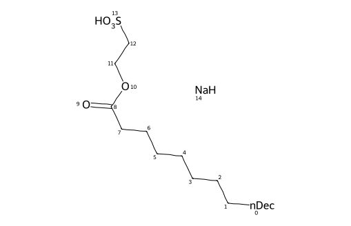 CCCCCCCCCCCCCCCCCC(=O)OCCS(=O)(=O)O.[NaH]